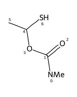 CNC(=O)OC(C)S